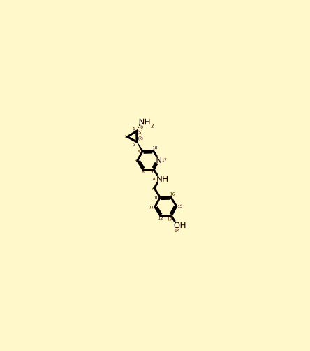 N[C@H]1C[C@@H]1c1ccc(NCc2ccc(O)cc2)nc1